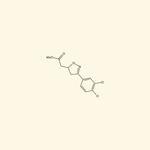 COC(=O)CC1CC(c2ccc(Cl)c(Cl)c2)=NO1